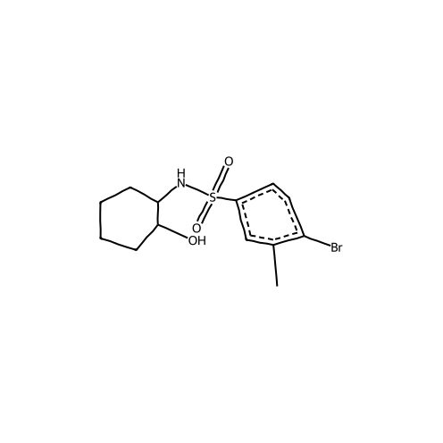 Cc1cc(S(=O)(=O)NC2CCCCC2O)ccc1Br